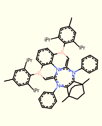 Cc1cc(C(C)C)c(B2C=c3n(-c4ccccc4)c4c(n(-c5ccccc5)c5n3-c3c2cccc3B(c2c(C(C)C)cc(C)cc2C(C)C)C=5)C2(C)CCC4(C)CC2)c(C(C)C)c1